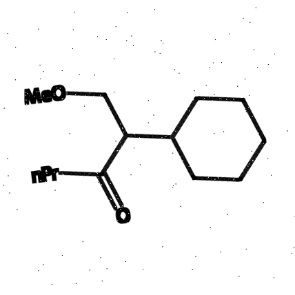 CCCC(=O)C(COC)C1CCCCC1